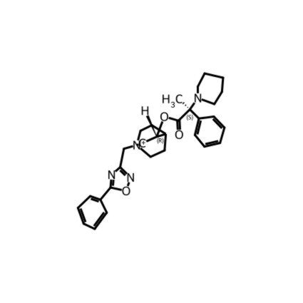 C[C@@](C(=O)O[C@H]1C[N+]2(Cc3noc(-c4ccccc4)n3)CCC1CC2)(c1ccccc1)N1CCCCC1